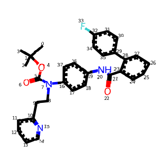 CC(C)(C)OC(=O)N(CCc1ccccn1)c1ccc(NC(=O)c2ccccc2-c2ccc(F)cc2)cc1